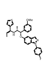 C/C=C(\N[C@@H](C)[C@H](Oc1ccc2c(cnn2-c2ccc(F)cc2)c1)c1cccc(OC)c1)c1ccsc1